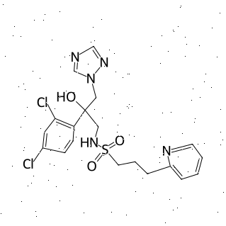 O=S(=O)(CCCc1ccccn1)NCC(O)(Cn1cncn1)c1ccc(Cl)cc1Cl